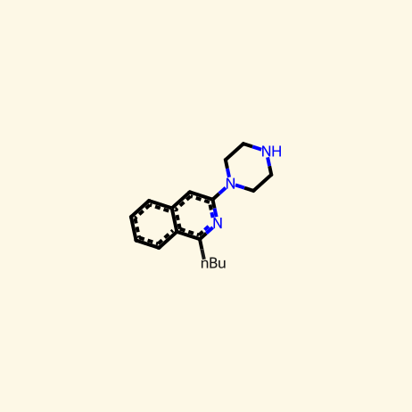 CCCCc1nc(N2CCNCC2)cc2ccccc12